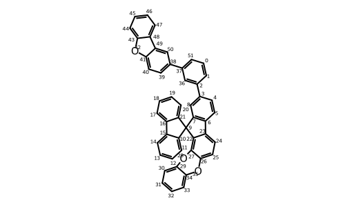 c1cc(-c2ccc3c(c2)C2(c4ccccc4-c4ccccc42)c2c-3ccc3c2Oc2ccccc2O3)cc(-c2ccc3oc4ccccc4c3c2)c1